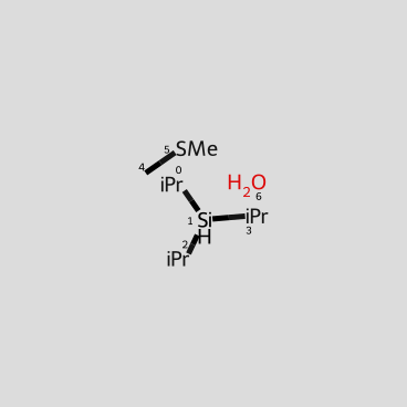 CC(C)[SiH](C(C)C)C(C)C.CSC.O